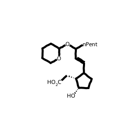 CCCCCC(C=CC1CC[C@H](O)[C@@H]1CC(=O)O)OC1CCCCO1